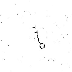 CC(N)OC(=O)CCC=Cc1ccccc1